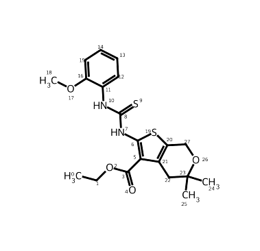 CCOC(=O)c1c(NC(=S)Nc2ccccc2OC)sc2c1CC(C)(C)OC2